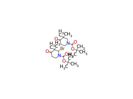 CC(C)(C)OC(=O)N1CCC(=O)C(C)(C)C1.CC(C)(C)OC(=O)N1CCC(=O)C(C)(C)C1Br